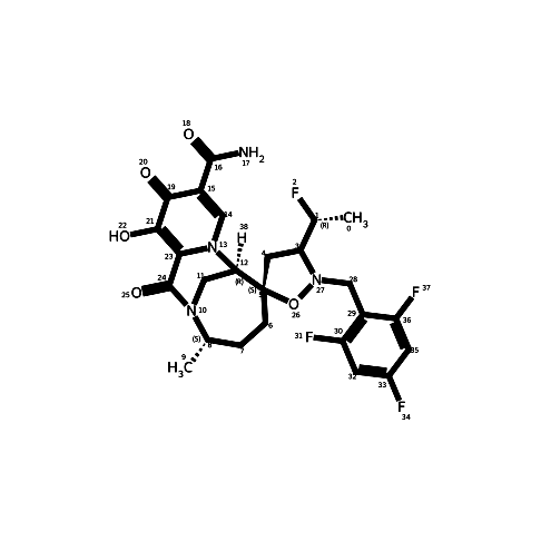 C[C@@H](F)C1C[C@]2(CC[C@H](C)N3C[C@H]2n2cc(C(N)=O)c(=O)c(O)c2C3=O)ON1Cc1c(F)cc(F)cc1F